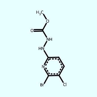 COC(=O)NNc1ccc(Cl)c(Br)n1